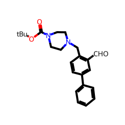 CC(C)(C)OC(=O)N1CCN(Cc2ccc(-c3ccccc3)cc2C=O)CC1